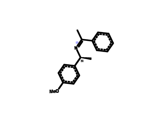 COc1ccc([C@H](C)/N=C(/C)c2ccccc2)cc1